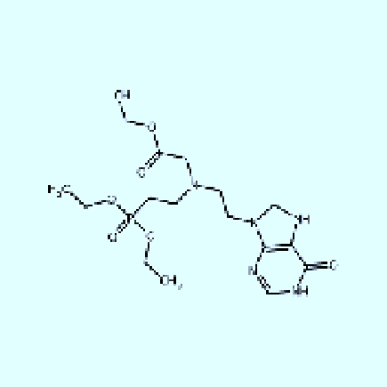 CCOC(=O)CN(CCN1CNc2c1nc[nH]c2=O)CCP(=O)(OCC)OCC